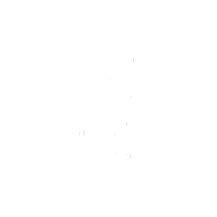 C=CC(=O)OCCC[Si](OCC)(OCC)OCCC